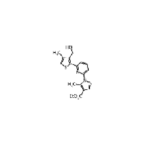 CCOC(=O)c1cnn(-c2cccc(-c3scc(C)c3CO)n2)c1C